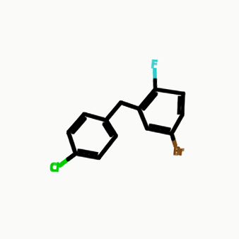 Fc1ccc(Br)cc1Cc1ccc(Cl)cc1